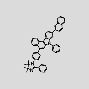 CC1(C)N=C(c2ccccc2)N(c2ccc(-c3cc4c(c5ccccc35)c3ccc(-c5ccc6ccccc6c5)cc3n4-c3ccccc3)cc2)C1(C)C